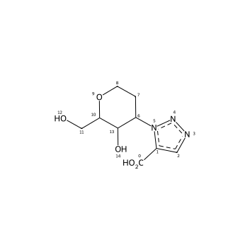 O=C(O)c1cnnn1C1CCOC(CO)C1O